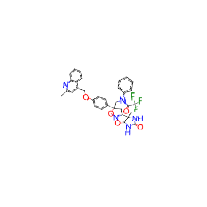 Cc1cc(COc2ccc(C3(CN(C(=O)C(F)(F)F)c4ccccc4)CC(C4(C)NC(=O)NC4=O)=NO3)cc2)c2ccccc2n1